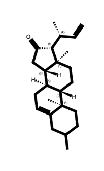 C=C[C@@H](C)[C@H]1C(=O)C[C@H]2[C@@H]3CC=C4CC(C)CC[C@]4(C)[C@H]3CC[C@]12C